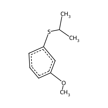 COc1cccc(SC(C)C)c1